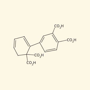 O=C(O)c1ccc(C2=CC=CCC2(C(=O)O)C(=O)O)cc1C(=O)O